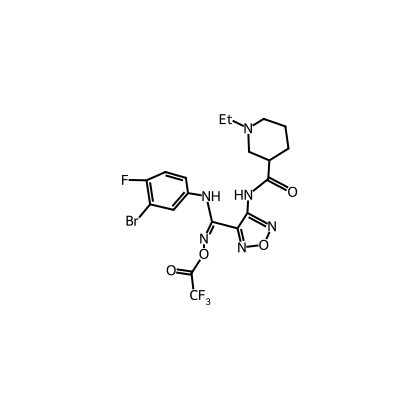 CCN1CCCC(C(=O)Nc2nonc2/C(=N\OC(=O)C(F)(F)F)Nc2ccc(F)c(Br)c2)C1